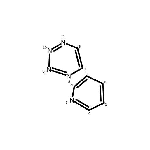 c1ccncc1.c1cnnnn1